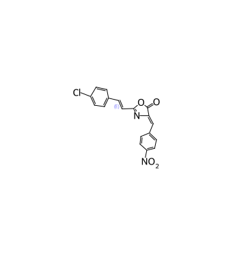 O=C1OC(/C=C/c2ccc(Cl)cc2)=NC1=Cc1ccc([N+](=O)[O-])cc1